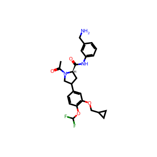 CC(=O)N1CC(c2ccc(OC(F)F)c(OCC3CC3)c2)C[C@@H]1C(=O)Nc1cccc(CN)c1